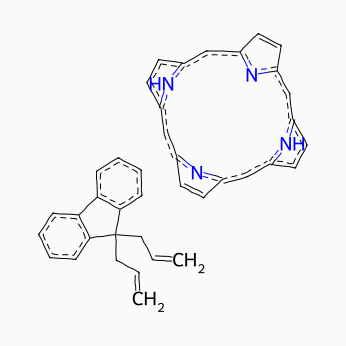 C1=Cc2cc3ccc(cc4nc(cc5ccc(cc1n2)[nH]5)C=C4)[nH]3.C=CCC1(CC=C)c2ccccc2-c2ccccc21